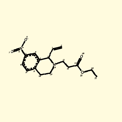 C=CC1c2cc([N+](=O)[O-])ccc2CCN1CCC(=O)OCC